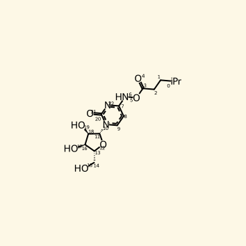 CC(C)CCC(=O)ONc1ccn([C@@H]2O[C@H](CO)[C@@H](O)[C@H]2O)c(=O)n1